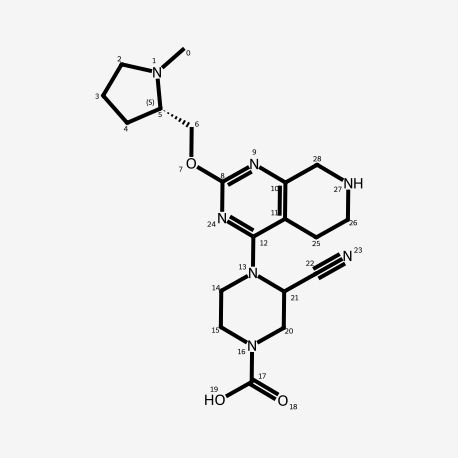 CN1CCC[C@H]1COc1nc2c(c(N3CCN(C(=O)O)CC3C#N)n1)CCNC2